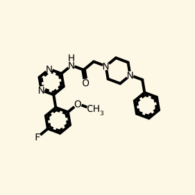 COc1ccc(F)cc1-c1cc(NC(=O)CN2CCN(Cc3ccccc3)CC2)ncn1